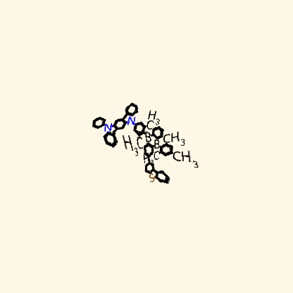 Cc1cc(C)c(B2c3ccccc3B(c3c(C)cc(-n4c5ccccc5c5cc6c(cc54)c4ccccc4n6-c4ccccc4)cc3C)c3ccc(-c4ccc5sc6ccccc6c5c4)cc32)c(C)c1